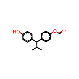 CC(C)C(c1ccc(O)cc1)c1ccc(OC=O)cc1